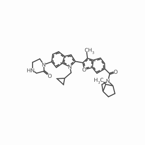 Cc1c(-c2cc3ccc(N4CCNCC4=O)cc3n2CC2CC2)oc2cc(C(=O)N3CC4CCC3C4C)ccc12